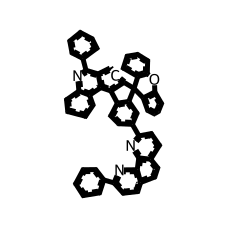 c1ccc(-c2ccc3ccc4ccc(-c5ccc6c(c5)C5(c7ccccc7Oc7ccccc75)c5ccc7c(-c8ccccc8)nc8ccccc8c7c5-6)nc4c3n2)cc1